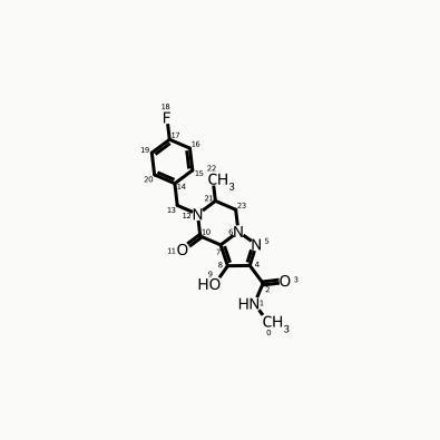 CNC(=O)c1nn2c(c1O)C(=O)N(Cc1ccc(F)cc1)C(C)C2